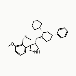 COc1cccc2c1CNC[C@]21CNC[C@H]1CN1CC[C@@H](c2ccccc2)C[C@H]1C1CCCCC1